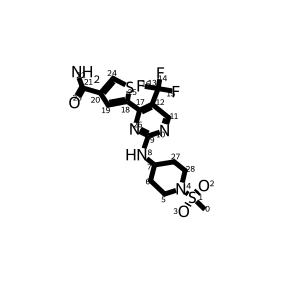 CS(=O)(=O)N1CCC(Nc2ncc(C(F)(F)F)c(-c3cc(C(N)=O)cs3)n2)CC1